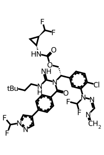 C=N/C=N\N(c1cc([C@@H](COC(=O)N[C@@H]2C[C@H]2C(F)F)N(C(=N)NCCC(C)(C)C)C(=O)c2ccc(-c3cnn(C(F)F)c3)cc2)ccc1Cl)C(F)F